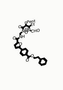 CCCCCC(C(=O)NCNC(=O)c1ccc(-c2ccc(C(=O)OCCc3ccccc3)cc2)o1)C(CC)N(O)C=O